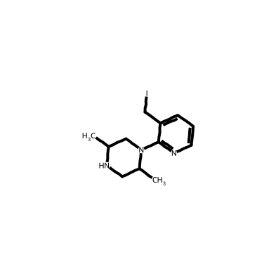 CC1CN(c2ncccc2CI)C(C)CN1